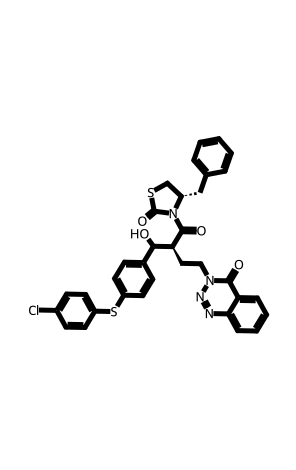 O=C1SC[C@H](Cc2ccccc2)N1C(=O)[C@@H](CCn1nnc2ccccc2c1=O)C(O)c1ccc(Sc2ccc(Cl)cc2)cc1